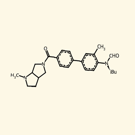 CC[C@H](C)N(C=O)c1ccc(-c2ccc(C(=O)N3CC4CCN(C)C4C3)cc2)cc1C